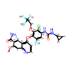 COc1cc2nccc(Oc3c(F)cc(NC(=O)NC4CC4)c(Cl)c3OCC(F)(F)F)c2cc1C(N)=O